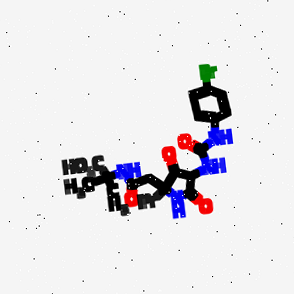 CC(C)C1(CC(=O)NC(C)(C)C(=O)O)NC(=O)C(NC(=O)Nc2ccc(Br)cc2)C1=O